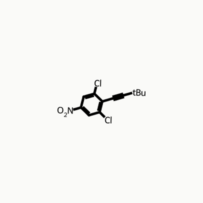 CC(C)(C)C#Cc1c(Cl)cc([N+](=O)[O-])cc1Cl